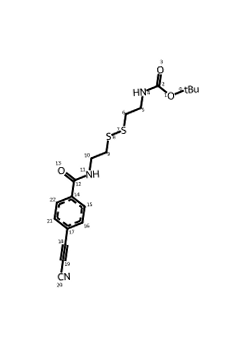 CC(C)(C)OC(=O)NCCSSCCNC(=O)c1ccc(C#CC#N)cc1